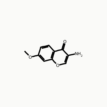 COc1ccc2c(=O)c(N)coc2c1